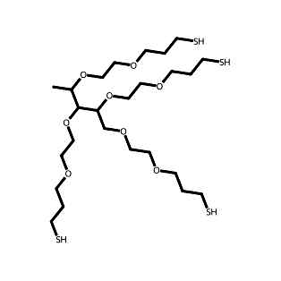 CC(OCCOCCCS)C(OCCOCCCS)C(COCCOCCCS)OCCOCCCS